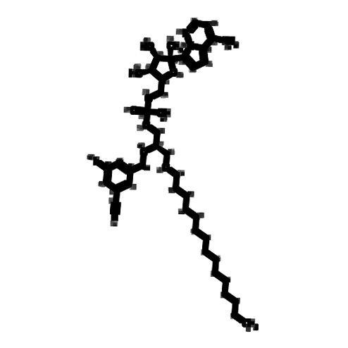 CCCCCCCCCCCCCCCOC[C@H](COP(=O)(O)OCC1O[C@@](C)(c2ccc3c(N)ncnn23)[C@H](O)[C@@H]1O)OCc1cc(F)cc(C#N)c1